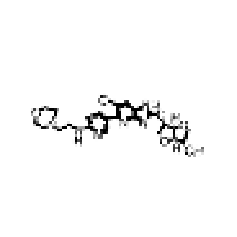 O[C@@H]1CO[C@H]2[C@@H]1OC[C@H]2Oc1nc2nc(-c3ccc(NCCN4CCOCC4)nc3)c(Cl)cc2[nH]1